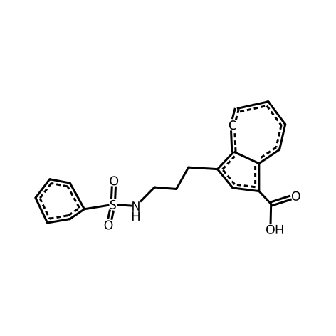 O=C(O)c1cc(CCCNS(=O)(=O)c2ccccc2)c2cccccc1-2